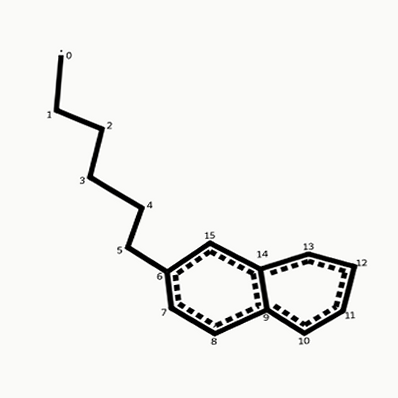 [CH2]CCCCCc1ccc2ccccc2c1